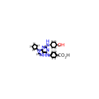 O=C(O)c1ccc(Nc2nc(N[C@H]3CC[C@H](O)CC3)nc3c2ncn3C2CCCC2)cc1